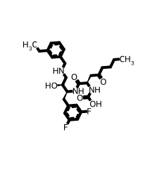 CCCCC(=O)C[C@@H](NC(=O)O)C(=O)N[C@@H](Cc1cc(F)cc(F)c1)[C@@H](O)CNCc1cccc(CC)c1